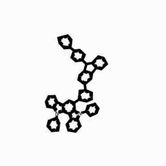 c1ccc(-c2ccc(C3c4ccccc4-c4cc(-c5cccc(-c6cc7c8ccccc8n(-c8ccccc8)c7c7c8ccccc8n(-c8ccccc8)c67)c5)ccc43)cc2)cc1